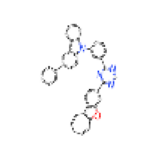 C1=Cc2oc3cc(-c4ncnc(-c5cccc(-n6c7ccccc7c7cc(-c8ccccc8)ccc76)c5)n4)ccc3c2C=CC1